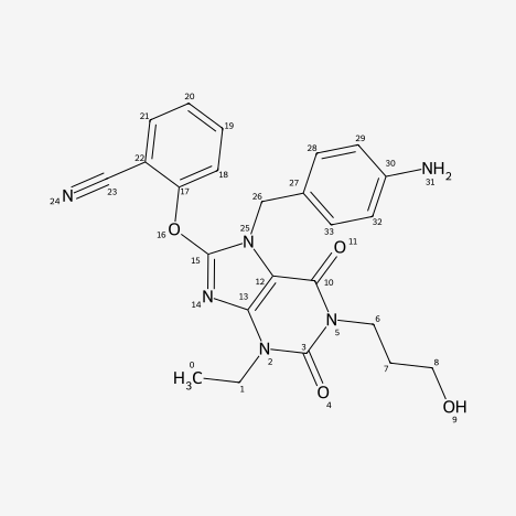 CCn1c(=O)n(CCCO)c(=O)c2c1nc(Oc1ccccc1C#N)n2Cc1ccc(N)cc1